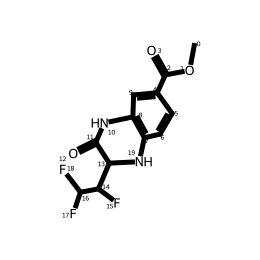 COC(=O)c1ccc2c(c1)NC(=O)C(C(F)C(F)F)N2